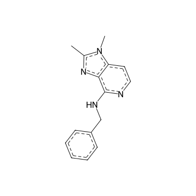 Cc1nc2c(NCc3ccccc3)nccc2n1C